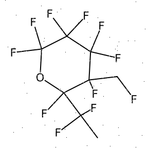 CC(F)(F)C1(F)OC(F)(F)C(F)(F)C(F)(F)C1(F)CF